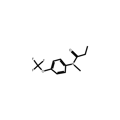 CCC(=O)N(C)c1ccc(OC(F)(F)F)cc1